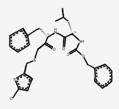 CC(C)C[C@H](NC(=O)OCc1ccccc1)C(=O)N[C@@H](Cc1ccccc1)C(=O)CSCc1ccc(Cl)s1